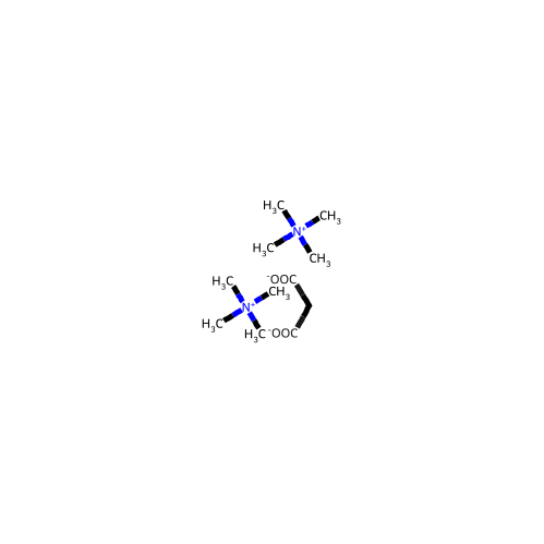 C[N+](C)(C)C.C[N+](C)(C)C.O=C([O-])CC(=O)[O-]